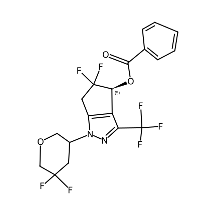 O=C(O[C@H]1c2c(C(F)(F)F)nn(C3COCC(F)(F)C3)c2CC1(F)F)c1ccccc1